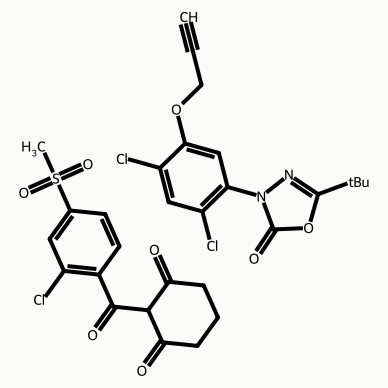 C#CCOc1cc(-n2nc(C(C)(C)C)oc2=O)c(Cl)cc1Cl.CS(=O)(=O)c1ccc(C(=O)C2C(=O)CCCC2=O)c(Cl)c1